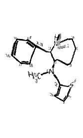 CN(c1cccs1)[C@@H]1CCCN[C@@H]1c1ccccc1